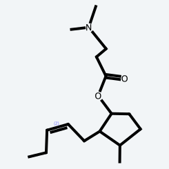 CC/C=C\CC1C(C)CCC1OC(=O)CCN(C)C